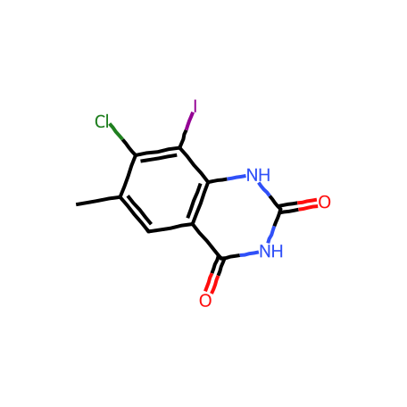 Cc1cc2c(=O)[nH]c(=O)[nH]c2c(I)c1Cl